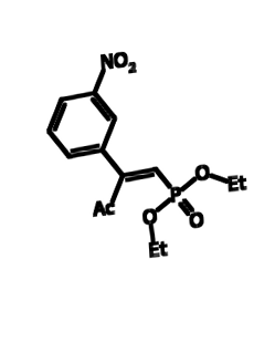 CCOP(=O)(C=C(C(C)=O)c1cccc([N+](=O)[O-])c1)OCC